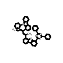 C=C/C=C(\C=C(/C)c1cccc2c1oc1c(-c3nc(-c4ccccc4)nc(-c4ccccc4)n3)cccc12)c1cccc2c3ccccc3n(-c3ccccc3)c12